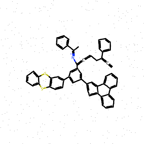 C=C=C(CC=C=C(/N=C(\C)c1ccccc1)c1cc(-c2ccc3c(c2)Sc2ccccc2S3)cc(-c2ccc3c4ccccc4c4ccccc4c3c2)c1)c1ccccc1